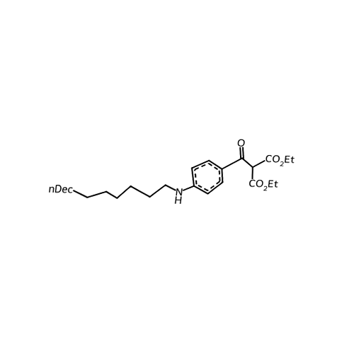 CCCCCCCCCCCCCCCCNc1ccc(C(=O)C(C(=O)OCC)C(=O)OCC)cc1